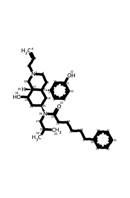 C=CCN1CC[C@@]2(c3cccc(O)c3)C[C@@H](N(CC(C)C)C(=O)CCCCCc3ccccc3)CC(O)[C@@H]2C1